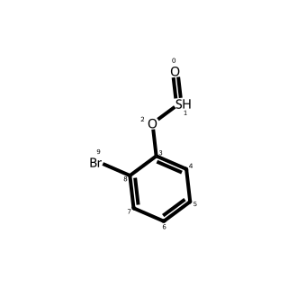 O=[SH]Oc1ccccc1Br